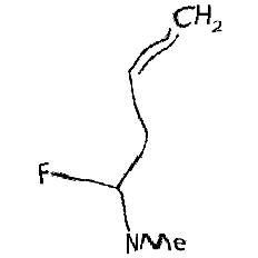 C=CCC(F)NC